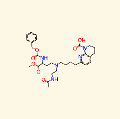 COC(=O)C(CCN(CCCCc1ccc2c(n1)N(C(=O)O)CCC2)CCNC(C)=O)NC(=O)OCc1ccccc1